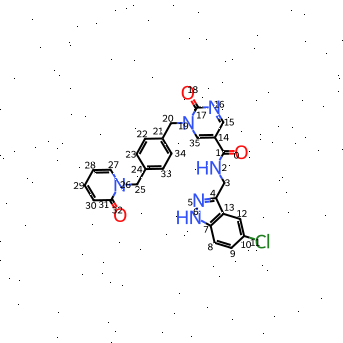 O=C(NCc1n[nH]c2ccc(Cl)cc12)c1cnc(=O)n(Cc2ccc(Cn3ccccc3=O)cc2)c1